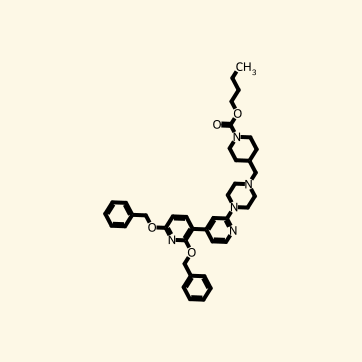 CCCCOC(=O)N1CCC(CN2CCN(c3cc(-c4ccc(OCc5ccccc5)nc4OCc4ccccc4)ccn3)CC2)CC1